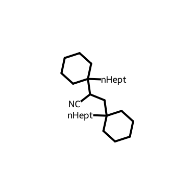 CCCCCCCC1(CC(C#N)C2(CCCCCCC)CCCCC2)CCCCC1